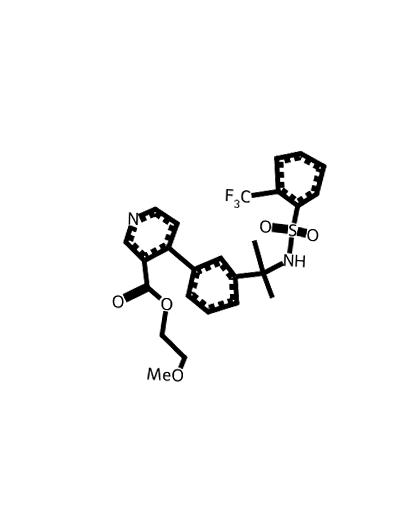 COCCOC(=O)c1cnccc1-c1cccc(C(C)(C)NS(=O)(=O)c2ccccc2C(F)(F)F)c1